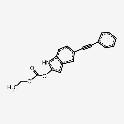 CCOC(=O)Oc1cc2cc(C#Cc3ccccc3)ccc2[nH]1